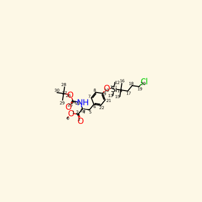 COC(=O)[C@H](Cc1ccc(O[Si](C)(C)C(C)(C)CCCCl)cc1)NC(=O)OC(C)(C)C